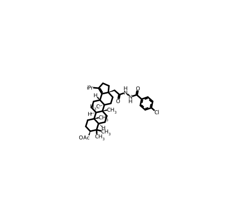 CC(=O)O[C@H]1CC[C@]2(C)[C@H]3CC[C@@H]4C5=C(C(C)C)CC[C@]5(CC(=O)NNC(=O)c5ccc(Cl)cc5)CC[C@@]4(C)[C@]3(C)CC[C@H]2C1(C)C